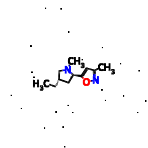 CC[C@H]1C[C@H](c2cc(C)no2)N(C)C1